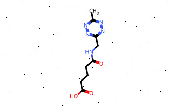 Cc1nnc(CNC(=O)CCCC(=O)O)nn1